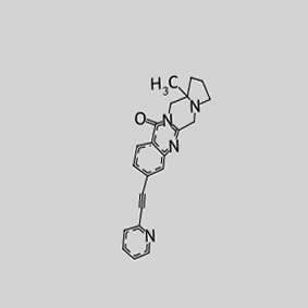 CC12CCCN1Cc1nc3cc(C#Cc4ccccn4)ccc3c(=O)n1C2